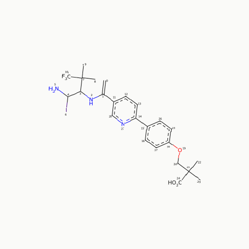 C=C(NC(C(N)I)C(C)(C)C(F)(F)F)c1ccc(-c2ccc(OCC(C)(C)C(=O)O)cc2)nc1